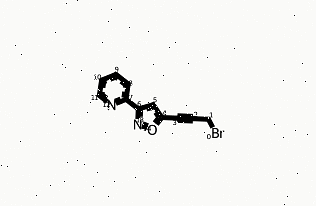 BrCC#Cc1cc(-c2ccccn2)no1